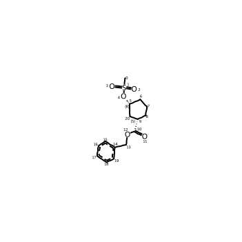 CS(=O)(=O)O[C@@H]1CCC[C@H](C(=O)OCc2ccccc2)C1